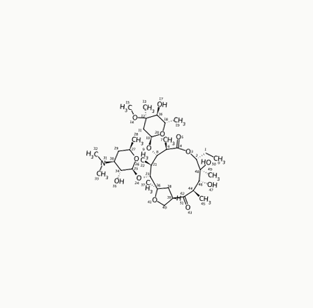 CC[C@H]1OC(=O)[C@H](C)[C@@H](O[C@H]2C[C@@](C)(OC)[C@@H](O)[C@H](C)O2)[C@H](C)[C@@H](O[C@@H]2O[C@H](C)C[C@H](N(C)C)[C@H]2O)[C@@]2(C)C[C@@H](CO2)C(=O)[C@H](C)[C@@H](O)[C@]1(C)O